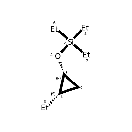 CC[C@H]1C[C@H]1O[Si](CC)(CC)CC